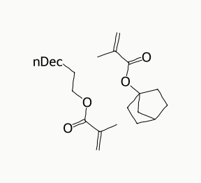 C=C(C)C(=O)OC12CCC(CC1)C2.C=C(C)C(=O)OCCCCCCCCCCCC